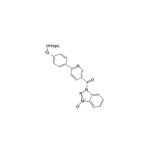 CCCCCCCOc1ccc(-c2ccc(C(=O)n3n[n+]([O-])c4ccccc43)cn2)cc1